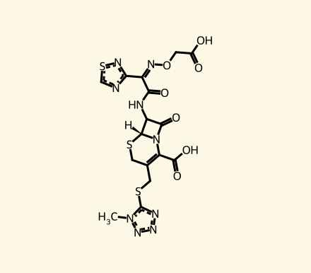 Cn1nnnc1SCC1=C(C(=O)O)N2C(=O)C(NC(=O)/C(=N\OCC(=O)O)c3ncsn3)[C@H]2SC1